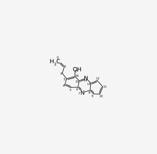 C=CCc1ccc2nc3ccccc3nc2c1O